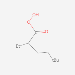 CCC(CCC(C)(C)C)C(=O)OO